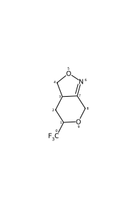 FC(F)(F)C1CC2CON=C2CO1